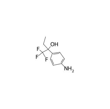 CCC(O)(c1ccc(N)cc1)C(F)(F)F